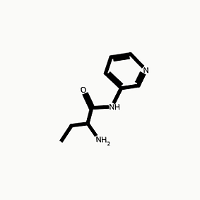 CCC(N)C(=O)Nc1cccnc1